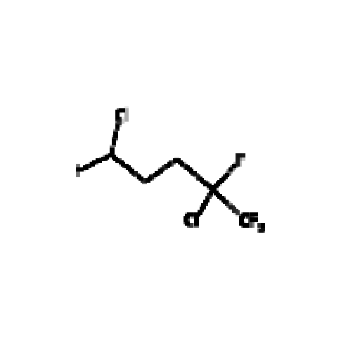 FC(Cl)CCC(F)(Cl)C(F)(F)F